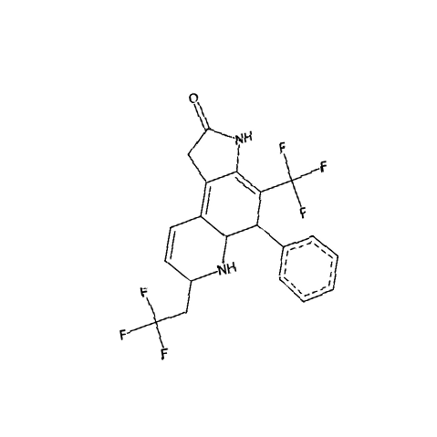 O=C1CC2=C3C=CC(CC(F)(F)F)NC3C(c3ccccc3)C(C(F)(F)F)=C2N1